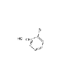 Brc1ccccc1.Cl.Cl